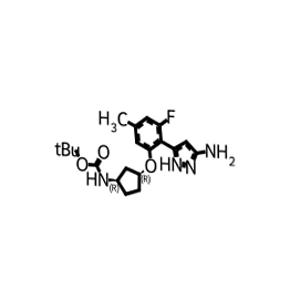 Cc1cc(F)c(-c2cc(N)n[nH]2)c(O[C@@H]2CC[C@@H](NC(=O)OC(C)(C)C)C2)c1